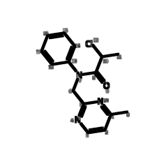 Cc1ccnc(CN(C(=O)C(C)Cl)c2ccccc2)n1